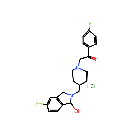 Cl.O=C(CN1CCC(CN2Cc3cc(F)ccc3C2O)CC1)c1ccc(F)cc1